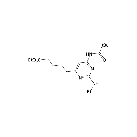 CCNc1nc(CCCCC(=O)OCC)cc(NC(=O)C(C)(C)C)n1